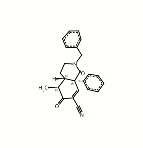 C[C@@H]1C(=O)C(C#N)=C[C@]2(c3ccccc3)C(=O)N(Cc3ccccc3)CC[C@@H]12